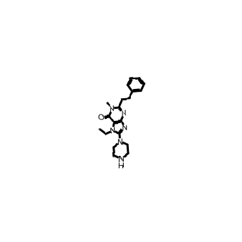 CCn1c(N2CCNCC2)nc2nc(CCc3ccccc3)n(C)c(=O)c21